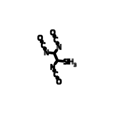 O=C=NC([SiH3])C(N=C=O)N=C=O